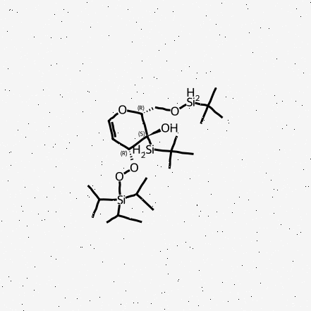 CC(C)[Si](OO[C@@H]1C=CO[C@H](CO[SiH2]C(C)(C)C)[C@]1(O)[SiH2]C(C)(C)C)(C(C)C)C(C)C